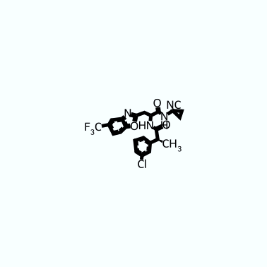 C[C@H](C(=O)NC(Cc1nc2cc(C(F)(F)F)ccc2o1)C(=O)NC1(C#N)CC1)c1cccc(Cl)c1